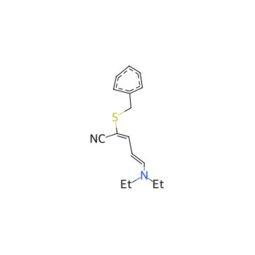 CCN(C=CC=C(C#N)SCc1ccccc1)CC